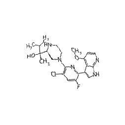 COc1ccnc2[nH]cc(-c3nc(N4CCN[C@H]([C@](C)(O)C(C)C)C4)c(Cl)cc3F)c12